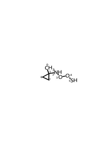 CC1(NOOS)CC1